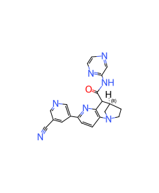 N#Cc1cncc(-c2ccc3c(n2)C(C(=O)Nc2cnccn2)[C@H]2CCN3C2)c1